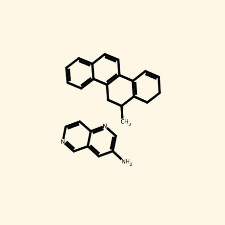 CC1Cc2c(ccc3ccccc23)C2=C1CCC=C2.Nc1cnc2ccncc2c1